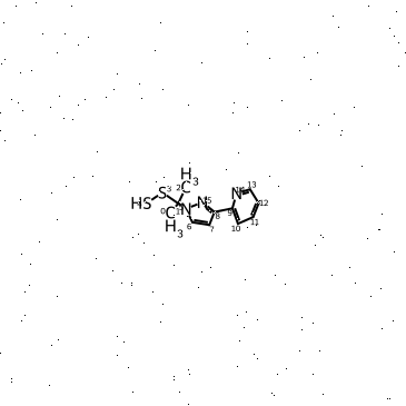 CC(C)(SS)n1ccc(-c2ccccn2)n1